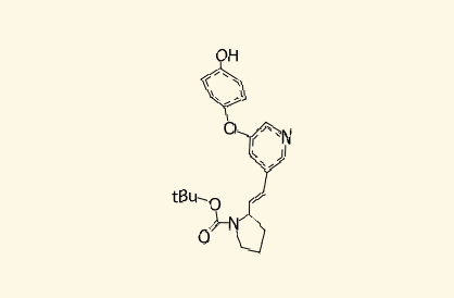 CC(C)(C)OC(=O)N1CCCC1C=Cc1cncc(Oc2ccc(O)cc2)c1